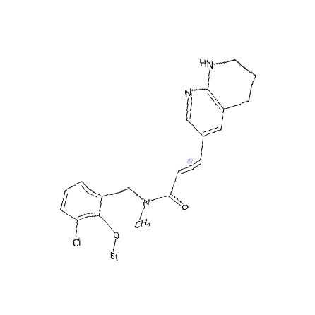 CCOc1c(Cl)cccc1CN(C)C(=O)/C=C/c1cnc2c(c1)CCCN2